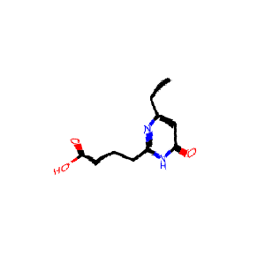 CCc1cc(=O)[nH]c(CCCC(=O)O)n1